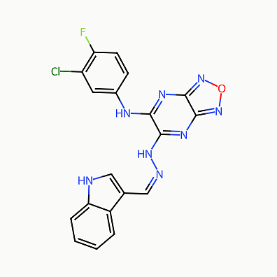 Fc1ccc(Nc2nc3nonc3nc2N/N=C\c2c[nH]c3ccccc23)cc1Cl